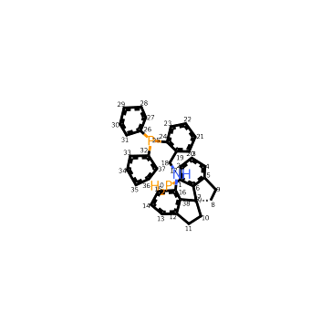 Pc1cccc2c1[C@@]1(CC2)CCc2cccc(NCc3ccccc3P(c3ccccc3)c3ccccc3)c21